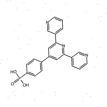 O=P(O)(O)c1ccc(-c2cc(-c3cccnc3)nc(-c3cccnc3)c2)cc1